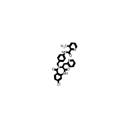 Cc1cccnc1C(=O)Nc1ccc(CN2C(=O)c3ccc(Cl)cc3NC(=O)C2Cc2ccccn2)cc1